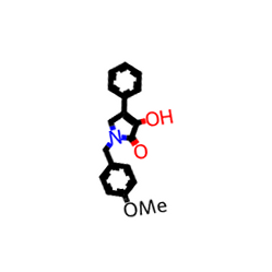 COc1ccc(CN2CC(c3ccccc3)=C(O)C2=O)cc1